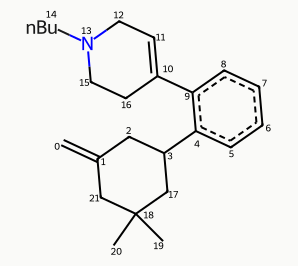 C=C1CC(c2ccccc2C2=CCN(CCCC)CC2)CC(C)(C)C1